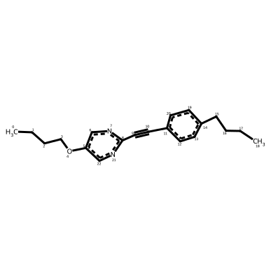 CCCCOc1cnc(C#Cc2ccc(CCCC)cc2)nc1